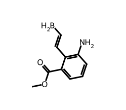 B/C=C/c1c(N)cccc1C(=O)OC